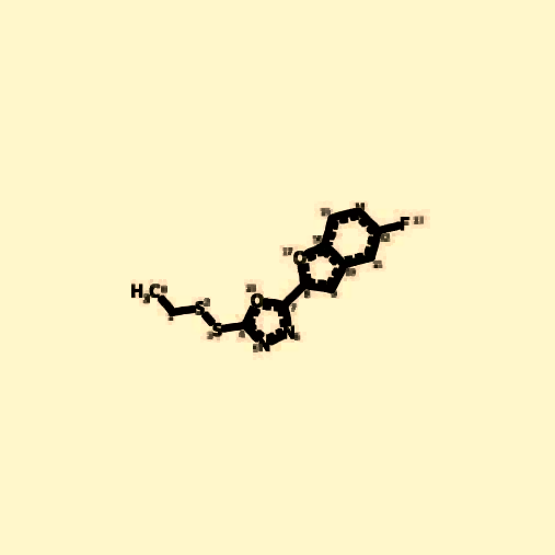 CCSSc1nnc(-c2cc3cc(F)ccc3o2)o1